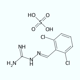 N=C(N)NN=Cc1c(Cl)cccc1Cl.O=S(=O)(O)O